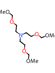 COCOCCN(CCOCOC)CCOCOC